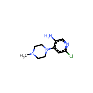 CN1CCN(c2cc(Cl)ncc2N)CC1